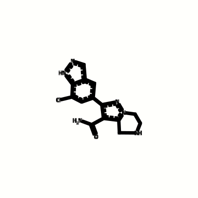 NC(=O)c1c(-c2cc(Cl)c3[nH]ncc3c2)nn2c1CNCC2